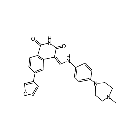 CN1CCN(c2ccc(N/C=C3\C(=O)NC(=O)c4ccc(-c5ccoc5)cc43)cc2)CC1